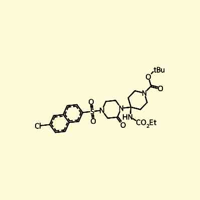 CCOC(=O)NC1(N2CCN(S(=O)(=O)c3ccc4cc(Cl)ccc4c3)CC2=O)CCN(C(=O)OC(C)(C)C)CC1